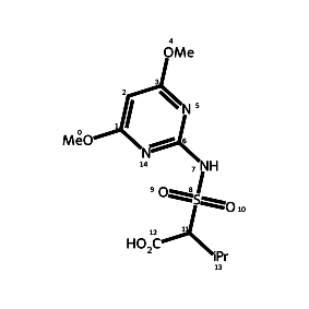 COc1cc(OC)nc(NS(=O)(=O)C(C(=O)O)C(C)C)n1